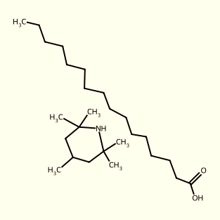 CC1CC(C)(C)NC(C)(C)C1.CCCCCCCCCCCCCCCC(=O)O